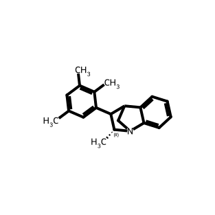 Cc1cc(C)c(C)c(C2C3CN(c4ccccc43)[C@@H]2C)c1